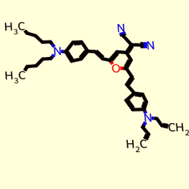 C=CCN(CC=C)c1ccc(C=CC2=CC(=C(C#N)C#N)C=C(C=Cc3ccc(N(CCCCC)CCCCC)cc3)O2)cc1